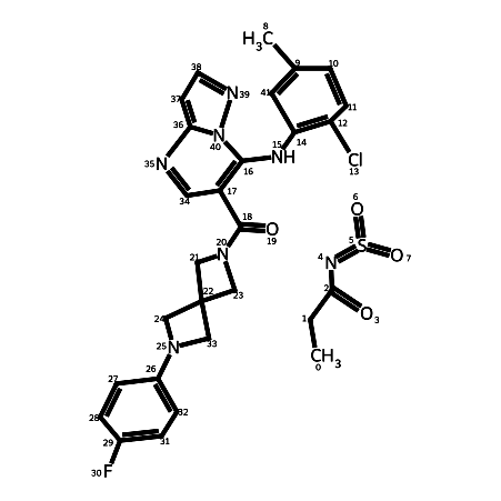 CCC(=O)N=S(=O)=O.Cc1ccc(Cl)c(Nc2c(C(=O)N3CC4(C3)CN(c3ccc(F)cc3)C4)cnc3ccnn23)c1